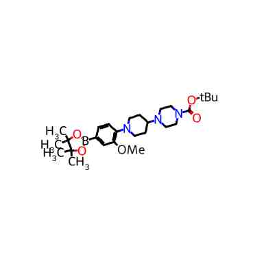 COc1cc(B2OC(C)(C)C(C)(C)O2)ccc1N1CCC(N2CCN(C(=O)OC(C)(C)C)CC2)CC1